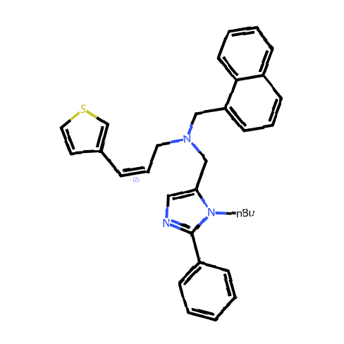 CCCCn1c(CN(C/C=C\c2ccsc2)Cc2cccc3ccccc23)cnc1-c1ccccc1